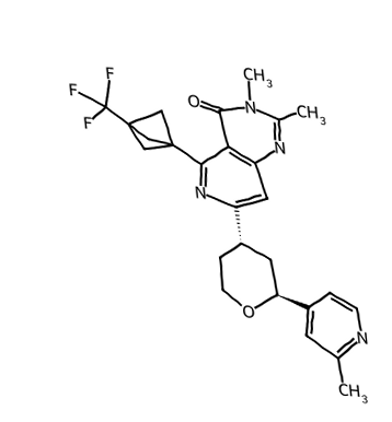 Cc1cc([C@@H]2C[C@@H](c3cc4nc(C)n(C)c(=O)c4c(C45CC(C(F)(F)F)(C4)C5)n3)CCO2)ccn1